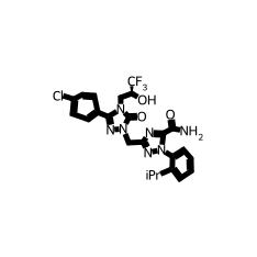 CC(C)c1ccccc1-n1nc(Cn2nc(-c3ccc(Cl)cc3)n(C[C@H](O)C(F)(F)F)c2=O)nc1C(N)=O